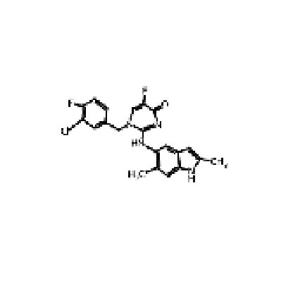 Cc1cc2cc(Nc3nc(=O)c(F)cn3Cc3ccc(F)c(Cl)c3)c(C)cc2[nH]1